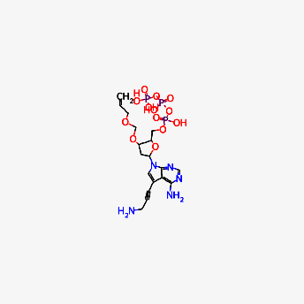 C=CCOCOC1CC(n2cc(C#CCN)c3c(N)ncnc32)OC1COP(=O)(O)OP(=O)(O)OP(=O)(O)O